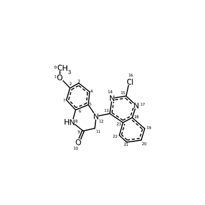 COc1ccc2c(c1)NC(=O)CN2c1nc(Cl)nc2ccccc12